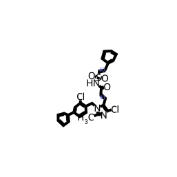 Cc1nc(Cl)c(/C=C/C(=O)NS(=O)(=O)/C=C/c2ccccc2)n1Cc1ccc(-c2ccccc2)cc1Cl